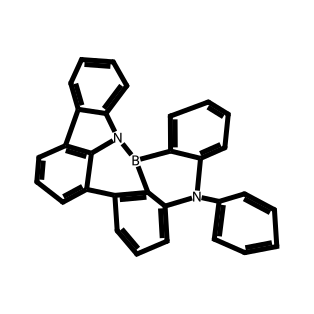 c1ccc(N2c3ccccc3B3c4c(cccc42)-c2cccc4c5ccccc5n3c24)cc1